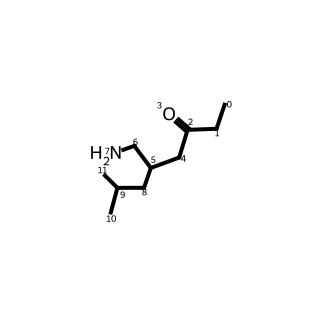 CCC(=O)CC(CN)CC(C)C